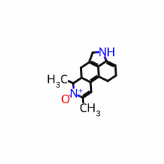 CC1=CC2=C3CCC=C4NCC(=C43)CC2C(C)[N+]1=O